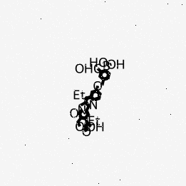 CCc1c2c(nc3ccc(OCc4ccc(B(O)O)c(C=O)c4)cc13)-c1cc3c(c(=O)n1C2)COC(=O)[C@]3(O)CC